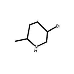 CC1C[CH]C(Br)CN1